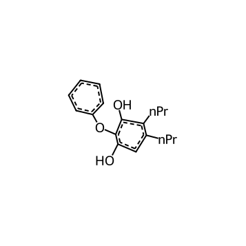 CCCc1cc(O)c(Oc2ccccc2)c(O)c1CCC